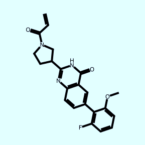 C=CC(=O)N1CCC(c2nc3ccc(-c4c(F)cccc4OC)cc3c(=O)[nH]2)C1